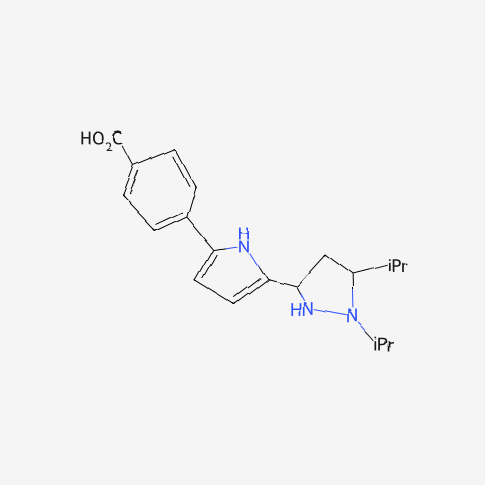 CC(C)C1CC(c2ccc(-c3ccc(C(=O)O)cc3)[nH]2)NN1C(C)C